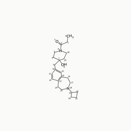 CCC(=O)N1CCC(O)(Cc2ccc3c(c2)CCN(C2CCC2)CC3)CC1